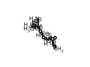 CCN[C@H](C(=O)N[C@@H](CCCNC(N)=O)C(=O)Nc1ccc(C(=O)Nc2ccc3[nH]c(C(=O)N4C[C@@H](CBr)c5c4cc(OC(=O)N4CCN(C)CC4)c4ccccc54)cc3c2)cc1)C(C)C